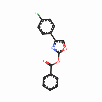 O=C(Oc1nc(-c2ccc(Cl)cc2)co1)c1ccccc1